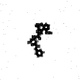 COc1cccc(OC)c1-c1cc(C(=O)N[C@H](CC(=O)NCC2CCCCC2)CC(C)C)nn1C(C)C(C)C